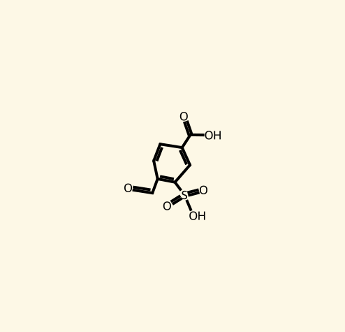 O=Cc1ccc(C(=O)O)cc1S(=O)(=O)O